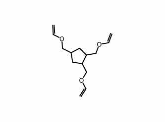 C=COCC1CC(COC=C)C(COC=C)C1